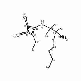 CCCCCC(C)(N)C(C)(C)Nc1c(CC)c(=O)c1=O